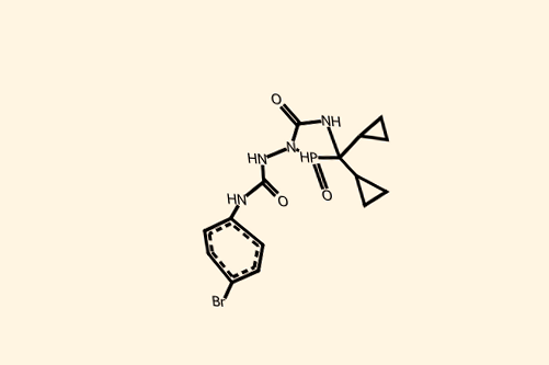 O=C(Nc1ccc(Br)cc1)NN1C(=O)NC(C2CC2)(C2CC2)[PH]1=O